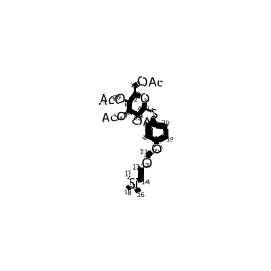 CC(=O)OC[C@H]1O[C@@H](Sc2ccc(OCOCC[Si](C)(C)C)cc2)[C@H](OC(C)=O)[C@@H](OC(C)=O)[C@H]1OC(C)=O